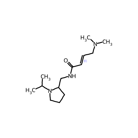 CC(C)N1CCCC1CNC(=O)/C=C/CN(C)C